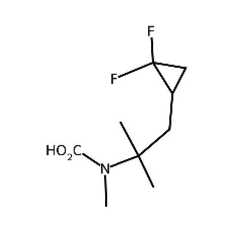 CN(C(=O)O)C(C)(C)CC1CC1(F)F